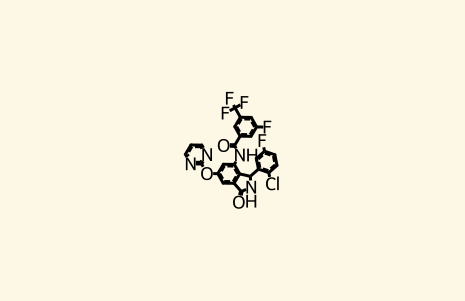 O=C(Nc1cc(Oc2ncccn2)cc2c1C(c1cc(F)ccc1Cl)NC2=O)c1cc(F)cc(C(F)(F)F)c1